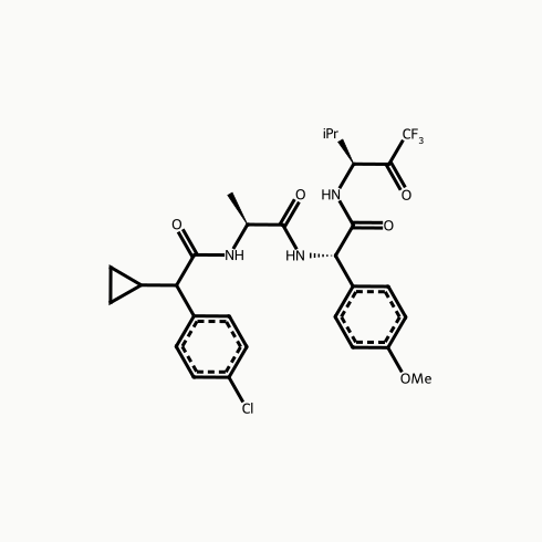 COc1ccc([C@H](NC(=O)[C@H](C)NC(=O)C(c2ccc(Cl)cc2)C2CC2)C(=O)N[C@H](C(=O)C(F)(F)F)C(C)C)cc1